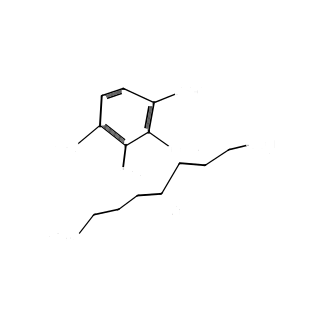 CCCCCCCCCCCCCCCCCC(=O)O.CCCCc1ccc(C(=O)[O-])c(C(=O)[O-])c1CCCC.[Zn+2]